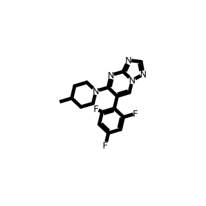 CC1CCN(c2nc3ncnn3cc2-c2c(F)cc(F)cc2F)CC1